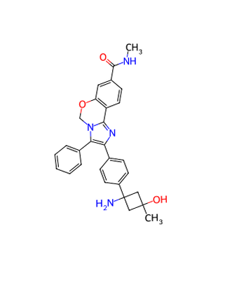 CNC(=O)c1ccc2c(c1)OCn1c-2nc(-c2ccc(C3(N)CC(C)(O)C3)cc2)c1-c1ccccc1